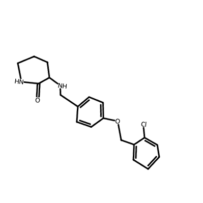 O=C1NCCCC1NCc1ccc(OCc2ccccc2Cl)cc1